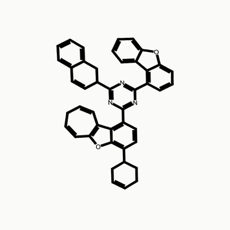 C1=Cc2oc3c(C4CC=CCC4)ccc(-c4nc(-c5cccc6oc7ccccc7c56)nc(C5C=Cc6ccccc6C5)n4)c3c2C=CC1